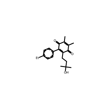 CCc1ccc(C2=C(CCC(C)(C)O)C(=O)C(C)=C(C)C2=O)cc1